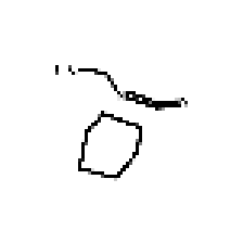 C1CCCCC1.CCN=C=O